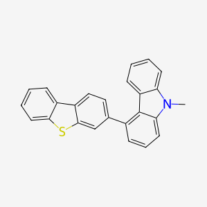 Cn1c2ccccc2c2c(-c3ccc4c(c3)sc3ccccc34)cccc21